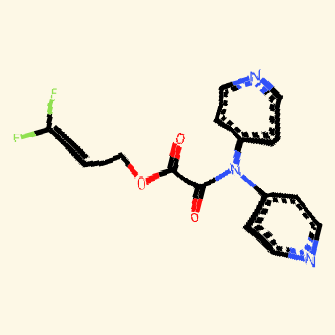 O=C(OCC=C(F)F)C(=O)N(c1ccncc1)c1ccncc1